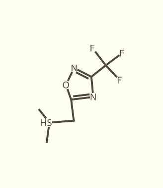 C[SH](C)Cc1nc(C(F)(F)F)no1